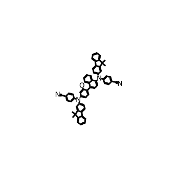 CC1(C)c2ccccc2-c2ccc(N(c3ccc(C#N)cc3)c3ccc4c(c3)Oc3cccc5c(N(c6ccc(C#N)cc6)c6ccc7c(c6)C(C)(C)c6ccccc6-7)ccc-4c35)cc21